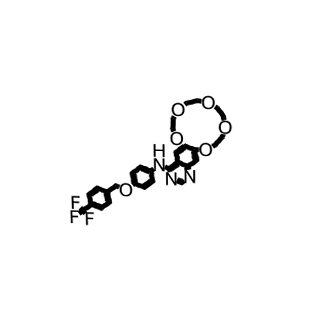 FC(F)(F)c1ccc(COc2ccc(Nc3ncnc4cc5c(cc34)OCCOCCOCCOCCO5)cc2)cc1